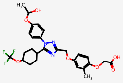 Cc1cc(OCc2nc(C3CCC(OC(F)(F)F)CC3)n(-c3ccc(OC(C)O)cc3)n2)ccc1OCC(=O)O